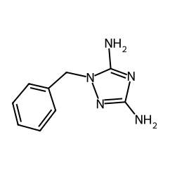 Nc1nc(N)n(Cc2ccccc2)n1